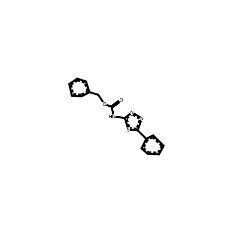 O=C(Nc1nnc(-c2ccccc2)s1)OCc1ccccc1